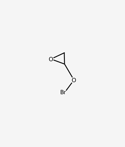 BrOC1CO1